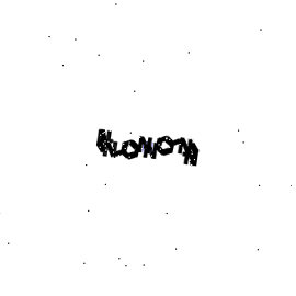 CN1C=CN(Cc2ccc(/N=N/c3ccc(CN4C=CN(C)C4)cc3)cc2)C1